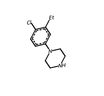 CCc1cc(N2CCNCC2)ccc1Cl